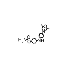 CC1CN(c2ccc(NC3CCC(OC(N)=O)CC3)cc2)CC(C)O1